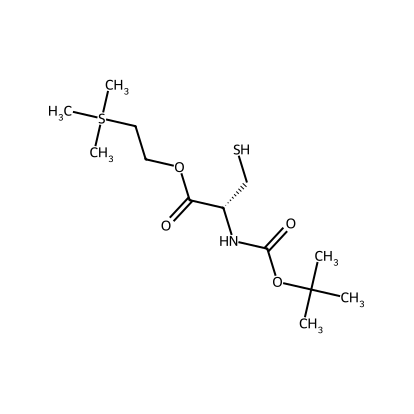 CC(C)(C)OC(=O)N[C@@H](CS)C(=O)OCCS(C)(C)C